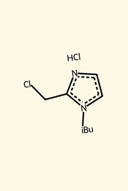 CCC(C)n1ccnc1CCl.Cl